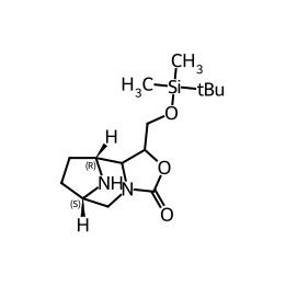 CC(C)(C)[Si](C)(C)OCC1OC(=O)N2C[C@@H]3CC[C@@H](N3)C12